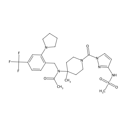 CC(=O)N(Cc1ccc(C(F)(F)F)cc1N1CCCC1)C1(C)CCN(C(=O)n2ccc(NS(C)(=O)=O)n2)CC1